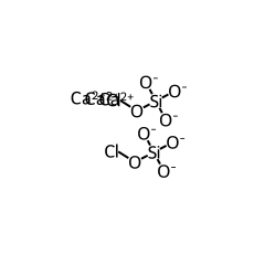 [Ca+2].[Ca+2].[Ca+2].[O-][Si]([O-])([O-])OCl.[O-][Si]([O-])([O-])OCl